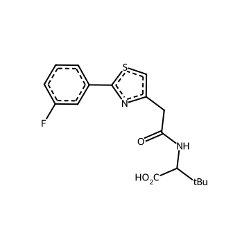 CC(C)(C)C(NC(=O)Cc1csc(-c2cccc(F)c2)n1)C(=O)O